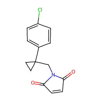 O=C1C=CC(=O)N1CC1(c2ccc(Cl)cc2)CC1